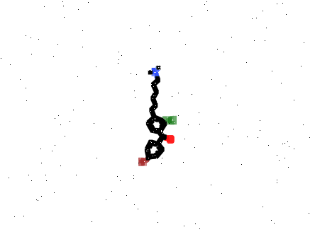 CN(C)CCCCCCc1ccc(C(=O)c2ccc(Br)cc2)cc1.Cl